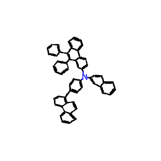 c1ccc(-c2c(-c3ccccc3)c3cc(N(c4ccc(-c5cccc6c5ccc5ccccc56)cc4)c4ccc5ccccc5c4)ccc3c3ccccc23)cc1